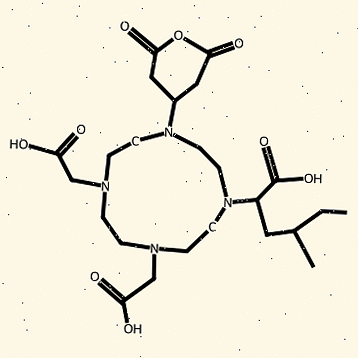 CCC(C)CC(C(=O)O)N1CCN(CC(=O)O)CCN(CC(=O)O)CCN(C2CC(=O)OC(=O)C2)CC1